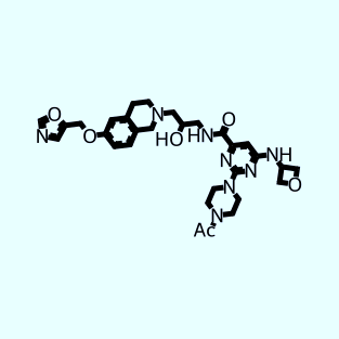 CC(=O)N1CCN(c2nc(NC3COC3)cc(C(=O)NCC(O)CN3CCc4cc(OCc5cnco5)ccc4C3)n2)CC1